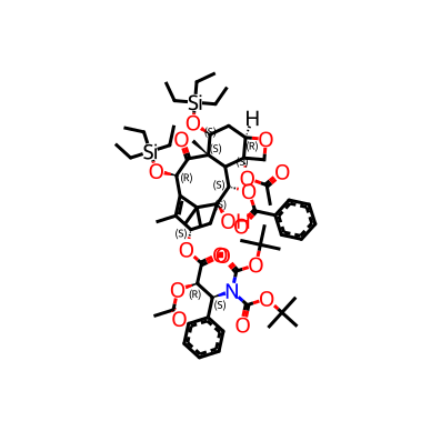 CC[Si](CC)(CC)O[C@H]1C(=O)[C@@]2(C)C([C@H](OC(=O)c3ccccc3)[C@]3(O)C[C@H](OC(=O)[C@H](OC(C)=O)[C@H](c4ccccc4)N(C(=O)OC(C)(C)C)C(=O)OC(C)(C)C)C(C)=C1C3(C)C)[C@]1(OC(C)=O)CO[C@@H]1C[C@@H]2O[Si](CC)(CC)CC